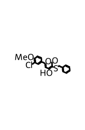 COc1ccc(-c2cc(O)c(SCc3ccccc3)c(=O)o2)cc1Cl